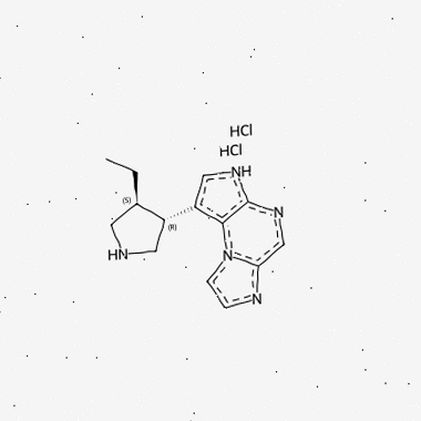 CC[C@@H]1CNC[C@H]1c1c[nH]c2ncc3nccn3c12.Cl.Cl